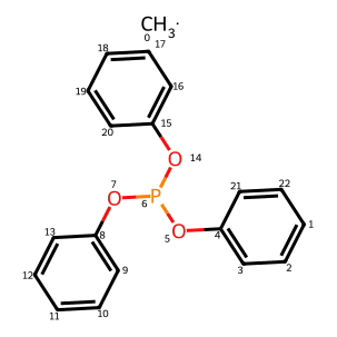 [CH3].c1ccc(OP(Oc2ccccc2)Oc2ccccc2)cc1